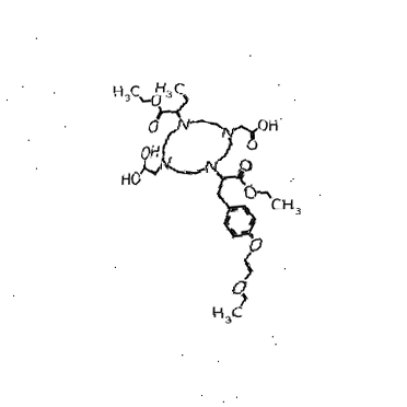 CCOCCOc1ccc(CC(C(=O)OCC)N2CCN(CC(=O)O)CCN(C(CC)C(=O)OCC)CCN(CC(O)O)CC2)cc1